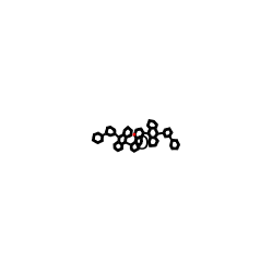 c1ccc(-c2cccc(-c3c4ccccc4c(-c4cccc5c4oc4cccc(-c6c7ccccc7c(-c7cccc(-c8ccccc8)c7)c7ccccc67)c45)c4ccccc34)c2)cc1